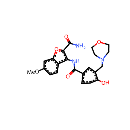 COc1ccc2c(NC(=O)c3ccc(O)c(CN4CCOCC4)c3)c(C(N)=O)oc2c1